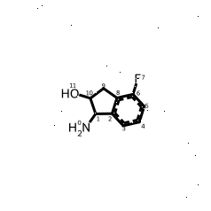 NC1c2cccc(F)c2CC1O